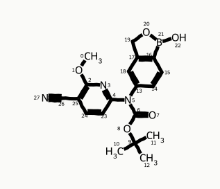 COc1nc(N(C(=O)OC(C)(C)C)c2ccc3c(c2)COB3O)ccc1C#N